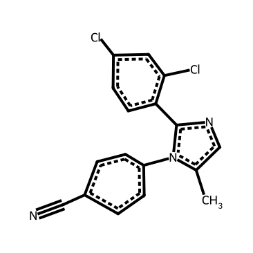 Cc1cnc(-c2ccc(Cl)cc2Cl)n1-c1ccc(C#N)cc1